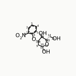 O=[N+]([O-])c1ccccc1O[C@H]1C[C@@H](O)O[C@@H](CO)[C@@H]1O